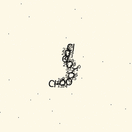 CC=C(c1ccc(Oc2ccc(Cl)cc2)cc1)c1ccc(Oc2ccc(Cl)cc2)cc1